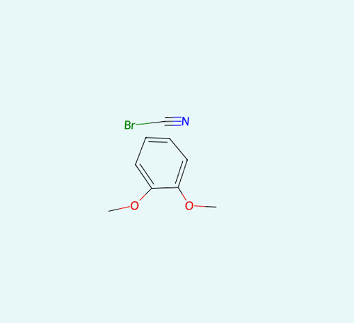 COc1ccccc1OC.N#CBr